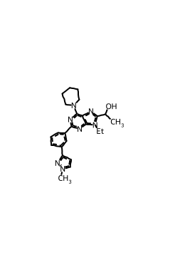 CCn1c(C(C)O)nc2c(N3CCCCC3)nc(-c3cccc(-c4ccn(C)n4)c3)nc21